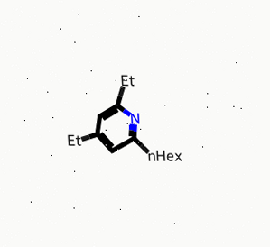 CCCCCCc1cc(CC)cc(CC)n1